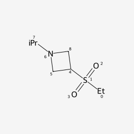 CCS(=O)(=O)C1CN(C(C)C)C1